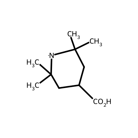 CC1(C)CC(C(=O)O)CC(C)(C)[N]1